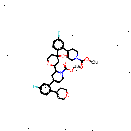 CC(C)(C)OC(=O)N1CC=C(c2cc(F)ccc2C2(O)CCOC(C3CC(c4cc(F)ccc4C4=CCOCC4)=CCN3C(=O)OC(C)(C)C)C2)CC1